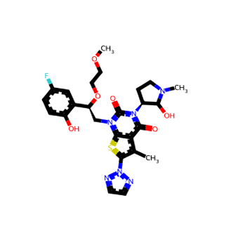 COCCO[C@@H](Cn1c(=O)n([C@H]2CCN(C)C2O)c(=O)c2c(C)c(-n3nccn3)sc21)c1cc(F)ccc1O